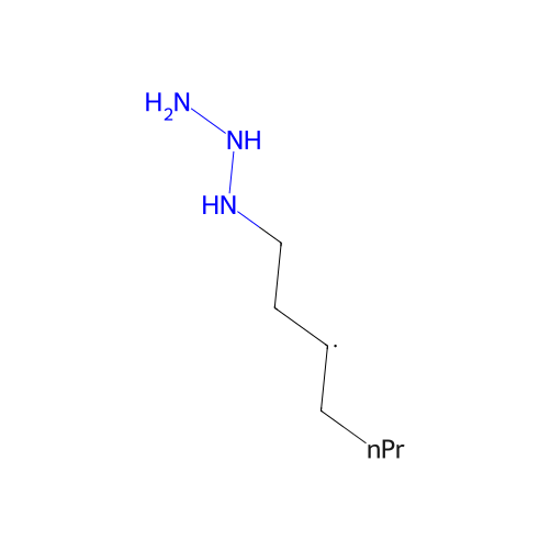 C[CH]CC[CH]CCNNN